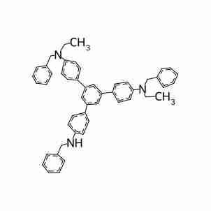 CCN(Cc1ccccc1)c1ccc(-c2cc(-c3ccc(NCc4ccccc4)cc3)cc(-c3ccc(N(CC)Cc4ccccc4)cc3)c2)cc1